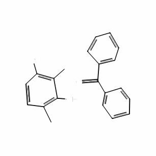 Cc1ccc(O)c(C)c1O.O=C(c1ccccc1)c1ccccc1